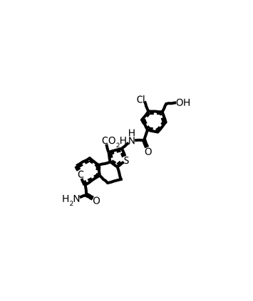 NC(=O)c1cccc2c1CCc1sc(NC(=O)c3ccc(CO)c(Cl)c3)c(C(=O)O)c1-2